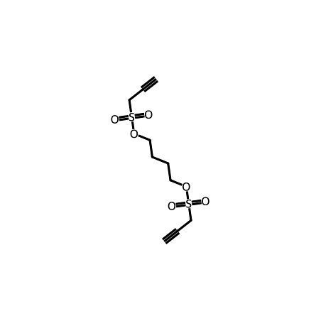 C#CCS(=O)(=O)OCCCCOS(=O)(=O)CC#C